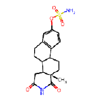 C[C@]12CCC3c4ccc(OS(N)(=O)=O)cc4CCC3C1CC(=O)NC2=O